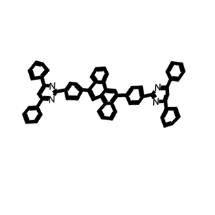 c1ccc(-c2cc(-c3ccccc3)nc(-c3ccc(-c4cc5c6ccccc6c(-c6ccc(-c7nc(-c8ccccc8)cc(-c8ccccc8)n7)cc6)cc5c5ccccc45)cc3)n2)cc1